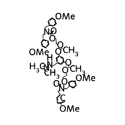 COc1ccc(CN(Cc2ccc(OC)cc2)C(=O)OCCOC(C)Oc2cc(CNN(C)C)cc(OC(C)OCCOC(=O)N(Cc3ccc(OC)cc3)Cc3ccc(OC)cc3)c2)cc1